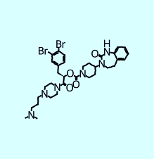 CN(C)CCCN1CCN(C(=O)[C@@H](Cc2ccc(Br)c(Br)c2)OC(=O)N2CCC(N3CCc4ccccc4NC3=O)CC2)CC1